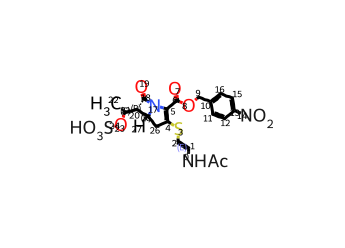 CC(=O)N/C=C/SC1=C(C(=O)OCc2ccc([N+](=O)[O-])cc2)N2C(=O)[C@@H]([C@H](C)OS(=O)(=O)O)[C@H]2C1